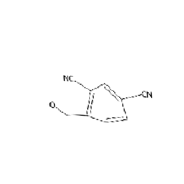 N#Cc1ccc(C[O])c(C#N)c1